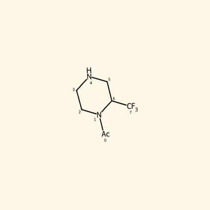 CC(=O)N1CCNCC1C(F)(F)F